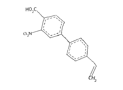 C=Cc1ccc(-c2ccc(C(=O)O)c([N+](=O)[O-])c2)cc1